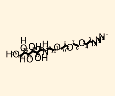 [N-]=[N+]=NCCOCCOCCOCCNCC(O)C(O)C(O)C(O)CO